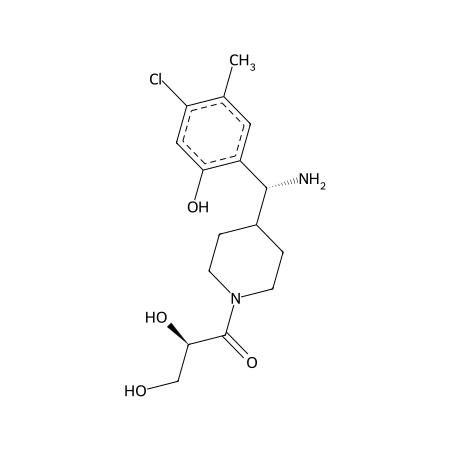 Cc1cc([C@H](N)C2CCN(C(=O)[C@H](O)CO)CC2)c(O)cc1Cl